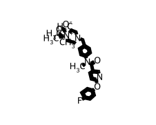 C[C@H]1CN(Cc2ccc(N(C)C(=O)c3ccc(Oc4ccc(F)cc4)nc3)cc2)CC[N+]1(C(=O)[O-])C(C)(C)C